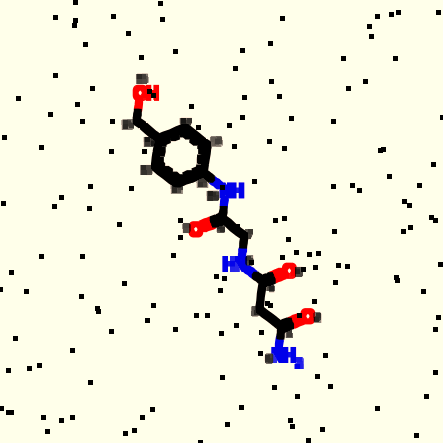 NC(=O)CC(=O)NCC(=O)Nc1ccc(CO)cc1